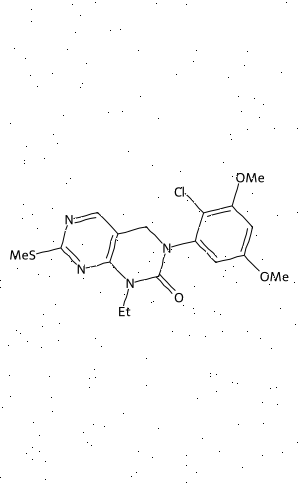 CCN1C(=O)N(c2cc(OC)cc(OC)c2Cl)Cc2cnc(SC)nc21